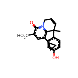 CC1(c2ccc(O)cc2)C=CCn2c1c(C1CC1)cc(C(=O)O)c2=O